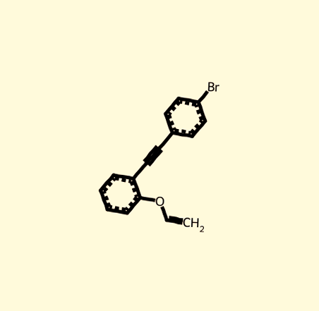 C=COc1ccccc1C#Cc1ccc(Br)cc1